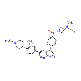 Cc1cc(-c2cnc3[nH]cc(-c4ccc(C(=O)N5CC(N(C)C)C5)cc4)c3c2)ccc1C1CCN(C)CC1